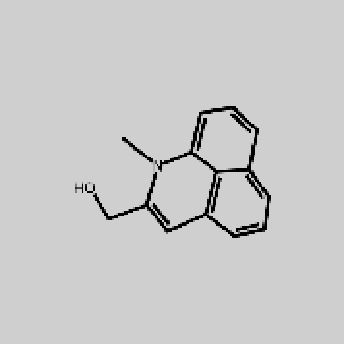 CN1C(CO)=Cc2cccc3cccc1c23